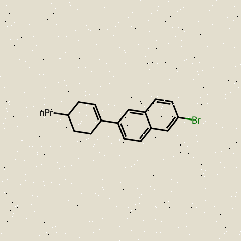 CCCC1CC=C(c2ccc3cc(Br)ccc3c2)CC1